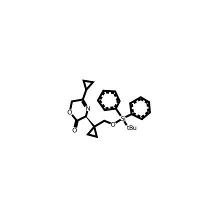 CC(C)(C)[Si](OCC1([C@@H]2N=C(C3CC3)COC2=O)CC1)(c1ccccc1)c1ccccc1